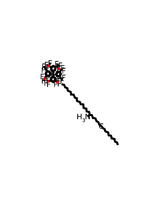 CCCCCCCCCCCCCCCCCCC([NH3+])CCCCCCCCCCCCCCCCCC.FC(F)(F)c1cc([B-](c2cc(C(F)(F)F)cc(C(F)(F)F)c2)(c2cc(C(F)(F)F)cc(C(F)(F)F)c2)c2cc(C(F)(F)F)cc(C(F)(F)F)c2)cc(C(F)(F)F)c1